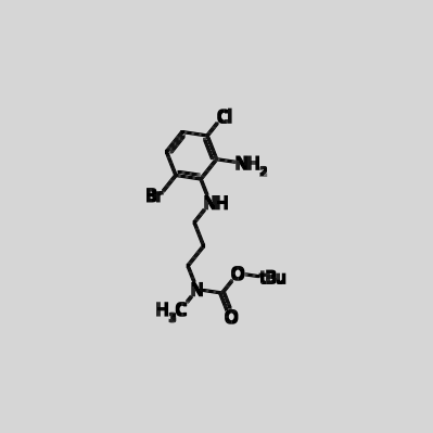 CN(CCCNc1c(Br)ccc(Cl)c1N)C(=O)OC(C)(C)C